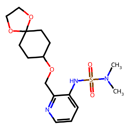 CN(C)S(=O)(=O)Nc1cccnc1COC1CCC2(CC1)OCCO2